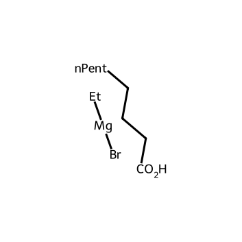 CCCCCCCCC(=O)O.C[CH2][Mg][Br]